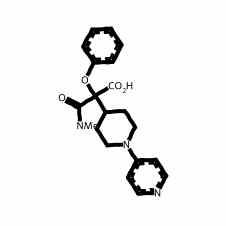 CNC(=O)C(Oc1ccccc1)(C(=O)O)C1CCN(c2ccncc2)CC1